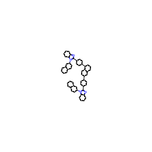 c1ccc2cc(-n3c(-c4ccc(-c5ccc6c(-c7ccc(-c8nc9ccccc9n8-c8ccc9ccccc9c8)cc7)cccc6c5)cc4)nc4ccccc43)ccc2c1